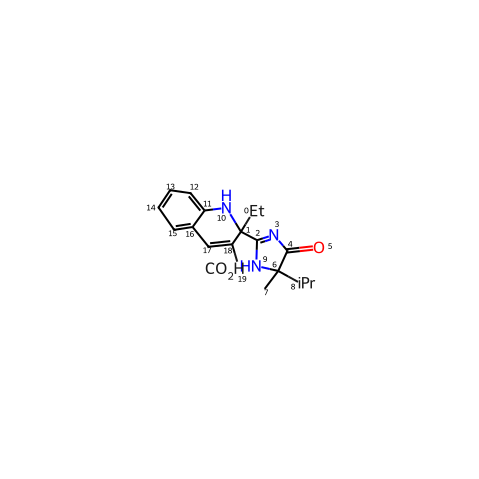 CCC1(C2=NC(=O)C(C)(C(C)C)N2)Nc2ccccc2C=C1C(=O)O